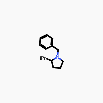 CC(C)C1CCCN1Cc1ccccc1